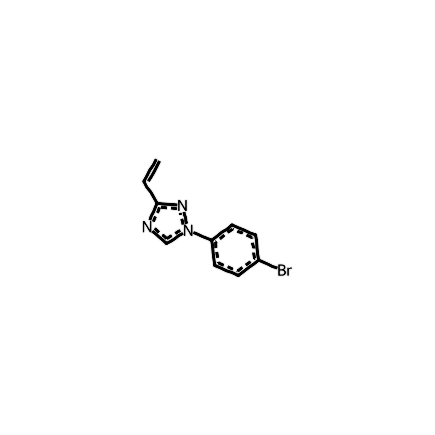 C=Cc1ncn(-c2ccc(Br)cc2)n1